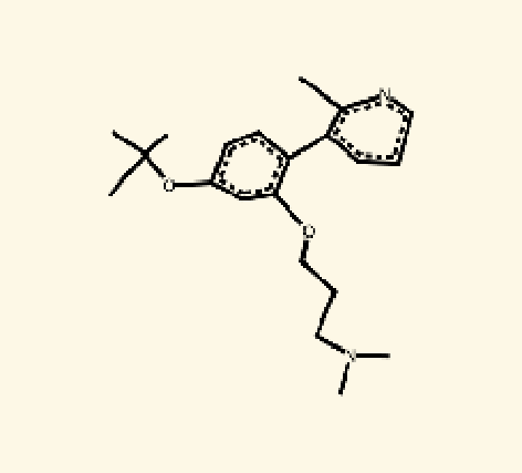 Cc1ncccc1-c1ccc(OC(C)(C)C)cc1OCCCN(C)C